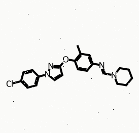 Cc1cc(/N=C/N2CCCCC2)ccc1Oc1ccn(-c2ccc(Cl)cc2)n1